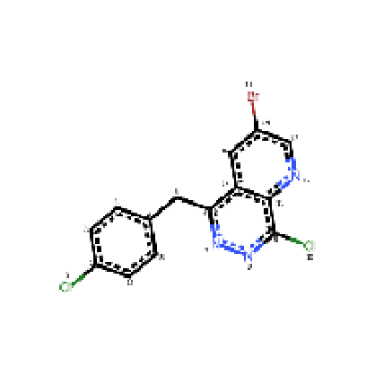 Clc1ccc(Cc2nnc(Cl)c3ncc(Br)cc23)cc1